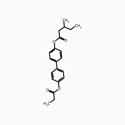 CCC(=O)Oc1ccc(-c2ccc(OC(=O)CC(C)CC)cc2)cc1